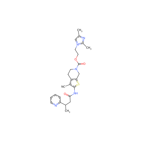 Cc1cn(CCOC(=O)N2CCc3c(sc(NC(=O)CC(C)c4ccccn4)c3C#N)C2)c(C)n1